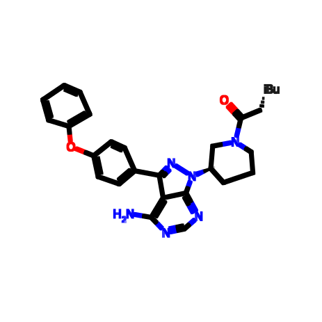 CC[C@@H](C)CC(=O)N1CCC[C@@H](n2nc(-c3ccc(Oc4ccccc4)cc3)c3c(N)ncnc32)C1